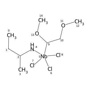 CCC(C)[NH][Nb]([Cl])([Cl])([Cl])[CH](COC)OC